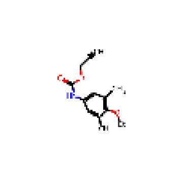 C#CCOC(=O)Nc1cc(C)c(OCC)c(C)c1